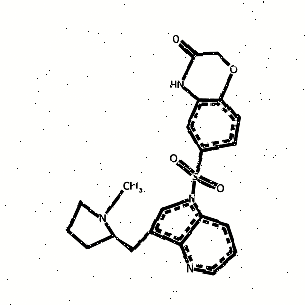 CN1CCC[C@@H]1Cc1cn(S(=O)(=O)c2ccc3c(c2)NC(=O)CO3)c2cccnc12